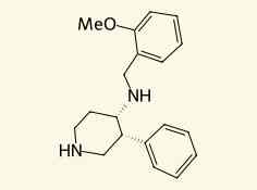 COc1ccccc1CN[C@H]1CCNC[C@H]1c1ccccc1